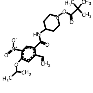 C=Cc1cc(OC(C)C)c([N+](=O)[O-])cc1C(=O)NC1CCN(OC(=O)C(C)(C)C)CC1